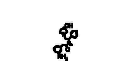 CN(C(=O)Cc1cccc(N)c1)C(CN1CC[C@@H](O)C1)c1ccccc1